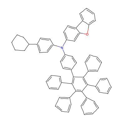 c1ccc(-c2c(-c3ccccc3)c(-c3ccccc3)c(-c3ccc(N(c4ccc(C5CCCCC5)cc4)c4ccc5c(c4)oc4ccccc45)cc3)c(-c3ccccc3)c2-c2ccccc2)cc1